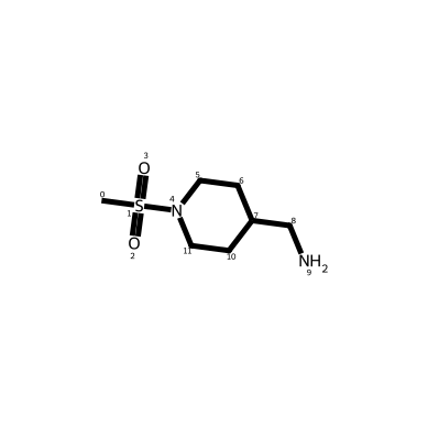 CS(=O)(=O)N1CCC(CN)CC1